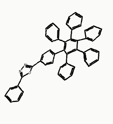 c1ccc(-c2nnc(-c3ccc(-c4c(-c5ccccc5)c(-c5ccccc5)c(-c5ccccc5)c(-c5ccccc5)c4-c4ccccc4)cc3)o2)cc1